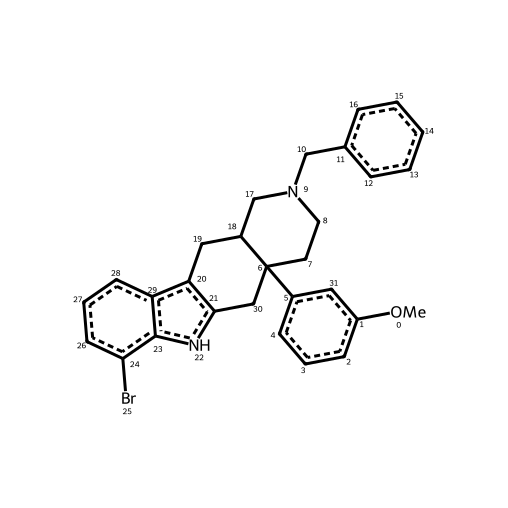 COc1cccc(C23CCN(Cc4ccccc4)CC2Cc2c([nH]c4c(Br)cccc24)C3)c1